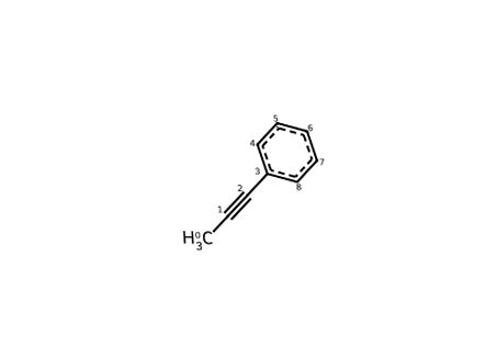 CC#Cc1c[c]ccc1